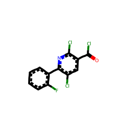 O=C(Cl)c1cc(Cl)c(-c2ccccc2F)nc1Cl